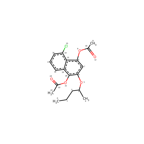 CCCC(C)Oc1cc(OC(C)=O)c2c(Cl)cccc2c1OC(C)=O